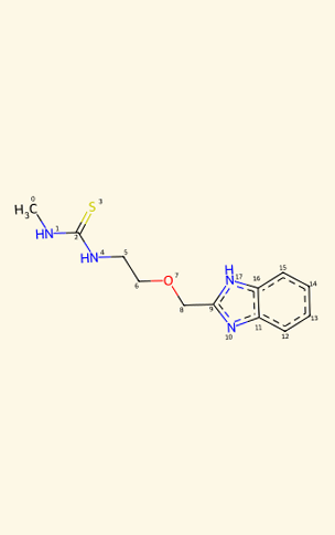 CNC(=S)NCCOCc1nc2ccccc2[nH]1